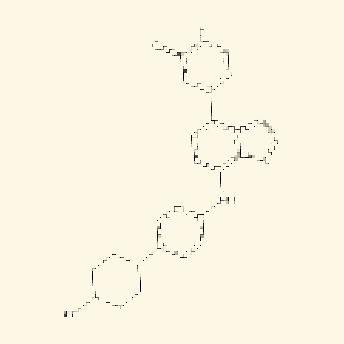 CC(C)C1CCC(c2ccc(Nc3ccc(-c4cc[nH]c(=O)c4)n4ccnc34)cc2)CC1